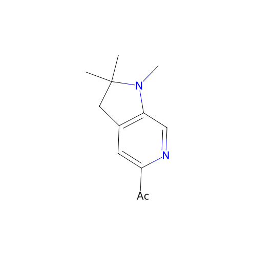 CC(=O)c1cc2c(cn1)N(C)C(C)(C)C2